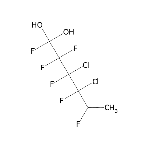 CC(F)C(F)(Cl)C(F)(Cl)C(F)(F)C(O)(O)F